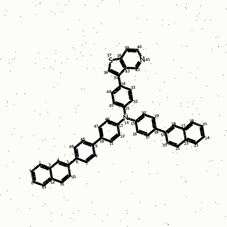 c1ccc2cc(-c3ccc(-c4ccc(N(c5ccc(-c6ccc7ccccc7c6)cc5)c5ccc(-c6csc7ccncc67)cc5)cc4)cc3)ccc2c1